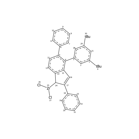 CC(C)(C)c1cc(-c2c(-c3ccccc3)ccc3c2C=C(c2ccccc2)[CH]3[Zr]([Cl])[Cl])cc(C(C)(C)C)c1